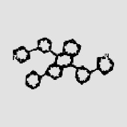 c1ccc(-c2ccc3c(-c4cccc(-c5cccnc5)c4)c4ccccc4c(-c4cccc(-c5ccncc5)c4)c3c2)cc1